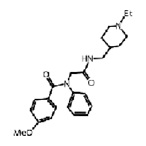 CCN1CCC(CNC(=O)CN(C(=O)c2ccc(OC)cc2)c2ccccc2)CC1